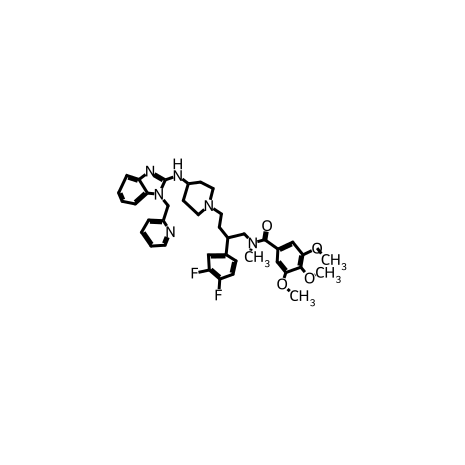 COc1cc(C(=O)N(C)CC(CCN2CCC(Nc3nc4ccccc4n3Cc3ccccn3)CC2)c2ccc(F)c(F)c2)cc(OC)c1OC